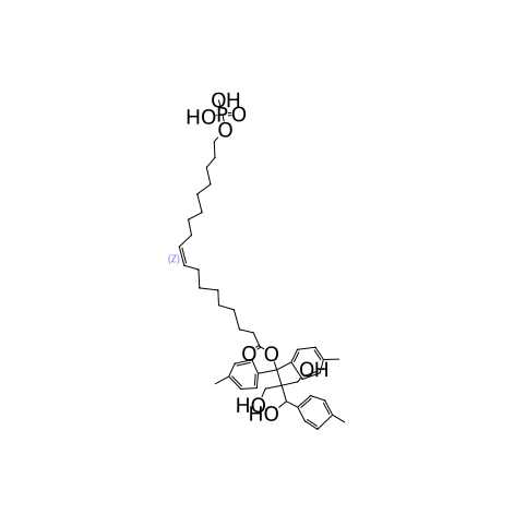 Cc1ccc(C(O)C(CO)(CO)C(OC(=O)CCCCCCC/C=C\CCCCCCCCOP(=O)(O)O)(c2ccc(C)cc2)c2ccc(C)cc2)cc1